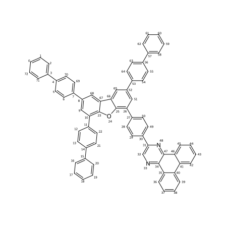 c1ccc(-c2ccc(-c3cc(-c4ccc(-c5ccccc5)cc4)c4oc5c(-c6ccc(-c7cnc8c9ccccc9c9ccccc9c8n7)cc6)cc(-c6ccc(-c7ccccc7)cc6)cc5c4c3)cc2)cc1